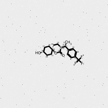 C[C@@H](c1ccc(C(F)(F)F)cc1)N1CC[C@]2(CC[C@@H](O)CC2)OC1=O